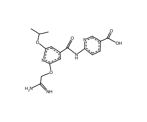 CC(C)Oc1cc(C(=O)Nc2ccc(C(=O)O)cn2)cc(OCC(=N)N)n1